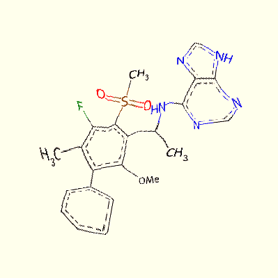 COc1c(-c2ccccc2)c(C)c(F)c(S(C)(=O)=O)c1C(C)Nc1ncnc2[nH]cnc12